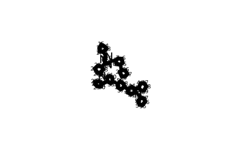 c1ccc(-c2cccc(-c3nc(-c4ccccc4)nc(-c4cccc(-n5c6ccccc6c6cc(-c7ccc(-c8ccc9c(c8)c8ccccc8n9-c8ccccc8)cc7)ccc65)c4)n3)c2)cc1